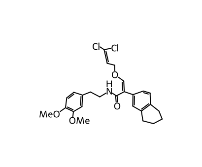 COc1ccc(CCNC(=O)C(=COCC=C(Cl)Cl)c2ccc3c(c2)CCCC3)cc1OC